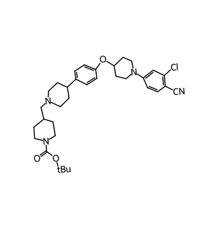 CC(C)(C)OC(=O)N1CCC(CN2CCC(c3ccc(OC4CCN(c5ccc(C#N)c(Cl)c5)CC4)cc3)CC2)CC1